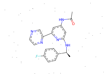 CC(=O)Nc1cc(N[C@@H](C)c2ccc(F)cc2)nc(-c2cnccn2)c1